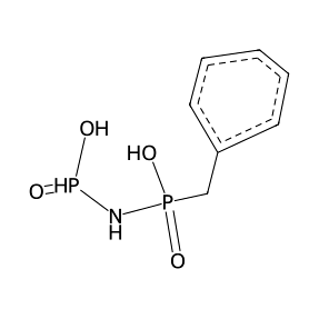 O=[PH](O)NP(=O)(O)Cc1ccccc1